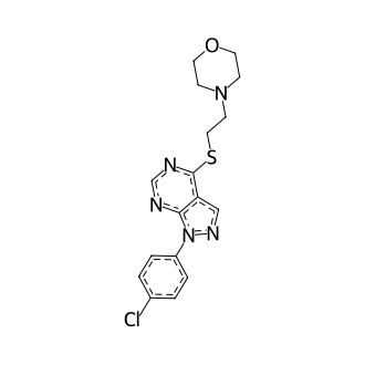 Clc1ccc(-n2ncc3c(SCCN4CCOCC4)ncnc32)cc1